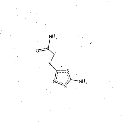 NC(=O)CSc1nnc(N)s1